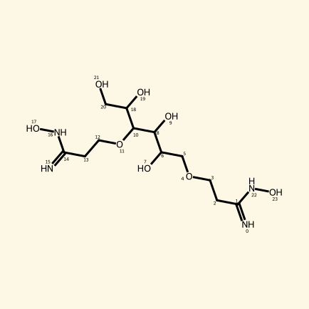 N=C(CCOCC(O)C(O)C(OCCC(=N)NO)C(O)CO)NO